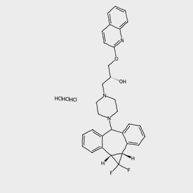 Cl.Cl.Cl.O[C@@H](COc1ccc2ccccc2n1)CN1CCN(C2c3ccccc3[C@@H]3[C@H](c4ccccc42)C3(F)F)CC1